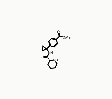 COC(=O)c1ccc(C2(NC(=O)[C@H]3CCCCN3)CC2)cc1